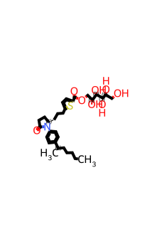 CCCCC[C@H](C)c1ccc(N2C(=O)CC[C@@H]2CCCc2ccc(C(=O)OC[C@H](O)[C@@H](O)[C@@H](O)[C@@H](O)CO)s2)cc1